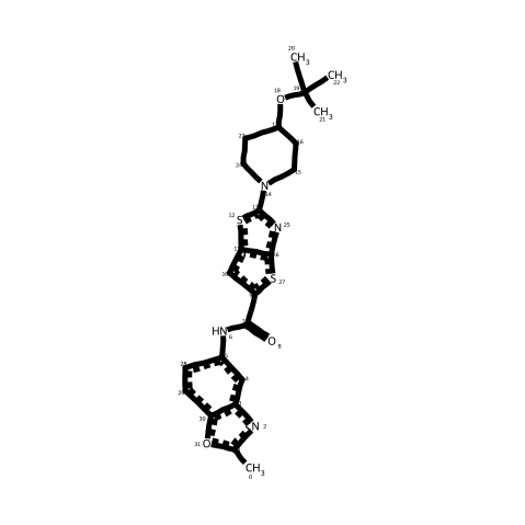 Cc1nc2cc(NC(=O)c3cc4sc(N5CCC(OC(C)(C)C)CC5)nc4s3)ccc2o1